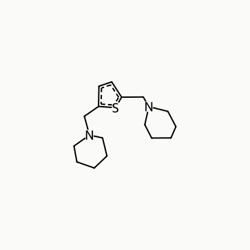 c1cc(CN2CCCCC2)sc1CN1CCCCC1